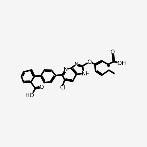 C=C(/C=C(\C=C/CC)Oc1nc2nc(-c3ccc(-c4ccccc4C(=O)O)cc3)c(Cl)cc2[nH]1)C(=O)O